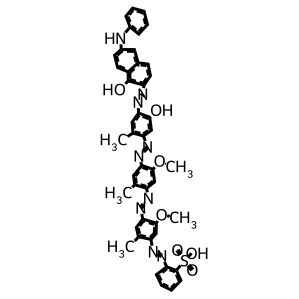 COc1cc(N=Nc2cc(C)c(N=Nc3ccccc3S(=O)(=O)O)cc2OC)c(C)cc1N=Nc1cc(O)c(N=Nc2ccc3cc(Nc4ccccc4)ccc3c2O)cc1C